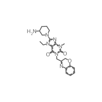 CCn1c(N2CCCC(N)C2)nc2c1c(=O)n(CC1=Nc3ccccc3OC1)c(=O)n2C